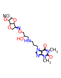 Cn1c(=O)c2c(ncn2CCCNCC(O)CON=C2COC3C(O[N+](=O)[O-])COC23)n(C)c1=O